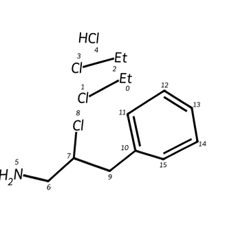 CCCl.CCCl.Cl.NCC(Cl)Cc1ccccc1